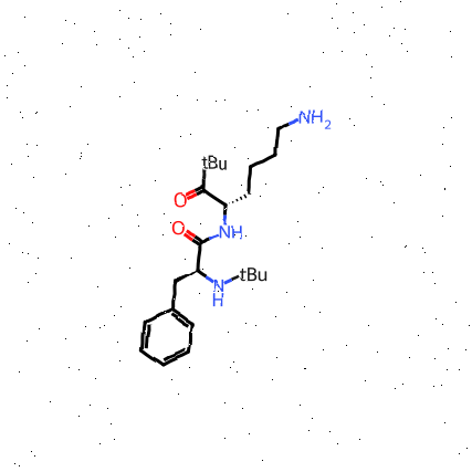 CC(C)(C)N[C@@H](Cc1ccccc1)C(=O)N[C@@H](CCCCN)C(=O)C(C)(C)C